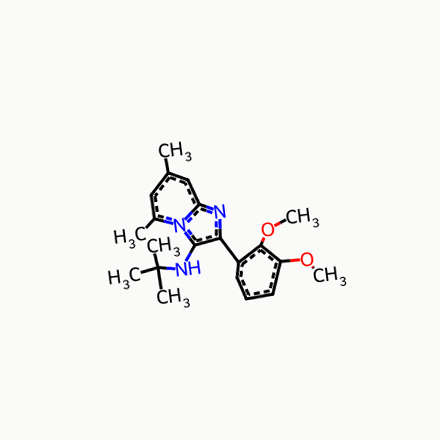 COc1cccc(-c2nc3cc(C)cc(C)n3c2NC(C)(C)C)c1OC